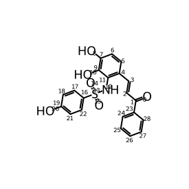 O=C(C=Cc1ccc(O)c(O)c1NS(=O)(=O)c1ccc(O)cc1)c1ccccc1